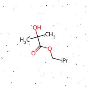 CC(C)COC(=O)C(C)(C)O